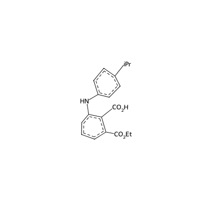 CCOC(=O)c1cccc(Nc2ccc(C(C)C)cc2)c1C(=O)O